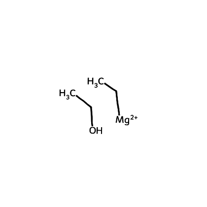 CCO.C[CH2][Mg+2]